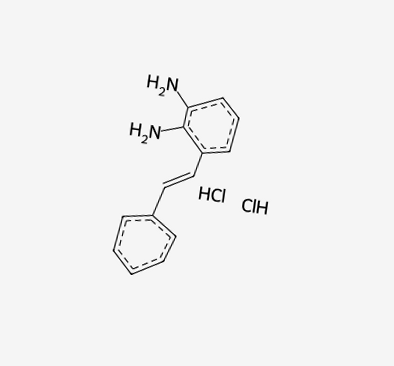 Cl.Cl.Nc1cccc(C=Cc2ccccc2)c1N